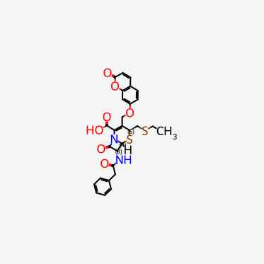 CCSC[C@H]1S[C@@H]2[C@H](NC(=O)Cc3ccccc3)C(=O)N2C(C(=O)O)=C1COc1ccc2ccc(=O)oc2c1